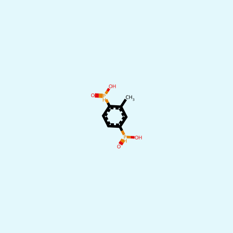 Cc1cc([PH](=O)O)ccc1[PH](=O)O